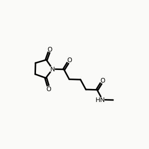 CNC(=O)CCCC(=O)N1C(=O)CCC1=O